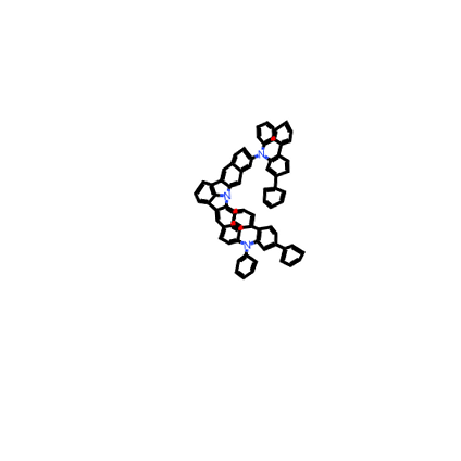 c1ccc(-c2ccc(-c3ccccc3)c(N(c3ccccc3)c3ccc4cc5c6cccc7c8cc9ccc(N(c%10ccccc%10)c%10cc(-c%11ccccc%11)ccc%10-c%10ccccc%10)cc9cc8n(c5cc4c3)c67)c2)cc1